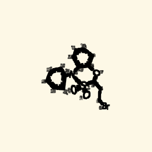 O=S1(=O)C(CCBr)Oc2ccccc2N1c1ccccc1